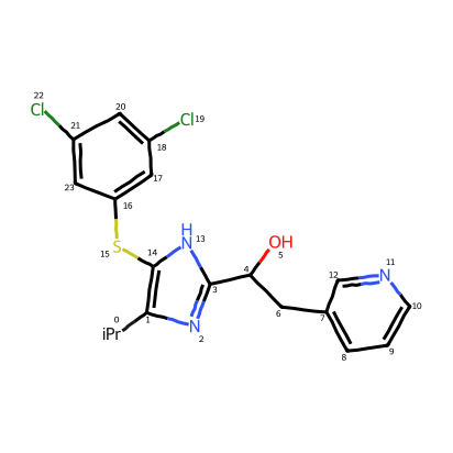 CC(C)c1nc(C(O)Cc2cccnc2)[nH]c1Sc1cc(Cl)cc(Cl)c1